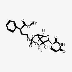 CC(C)OC(=O)C(CCO[P@@]1(=O)OC2[C@H]3O[C@@H](n4ccc(=O)[nH]c4=O)[C@](C)(N)[C@@]23O1)c1ccccc1